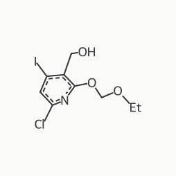 CCOCOc1nc(Cl)cc(I)c1CO